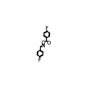 O=C(ON=Cc1ccc(F)cc1)c1ccc(F)cc1